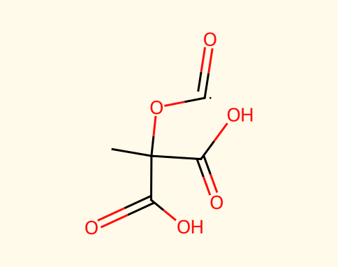 CC(O[C]=O)(C(=O)O)C(=O)O